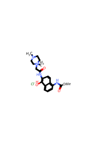 COC(=O)Nc1cccc2c(O)c(NC(=O)C[N+]3(C)CCN(C)CC3)ccc12.[Cl-]